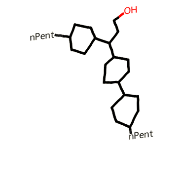 CCCCCC1CCC(C2CCC(C(CCO)C3CCC(CCCCC)CC3)CC2)CC1